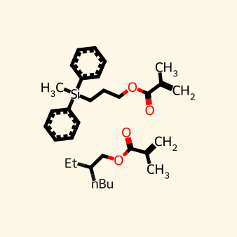 C=C(C)C(=O)OCC(CC)CCCC.C=C(C)C(=O)OCCC[Si](C)(c1ccccc1)c1ccccc1